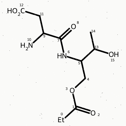 CCC(=O)OCC(NC(=O)C(N)CC(=O)O)C(C)O